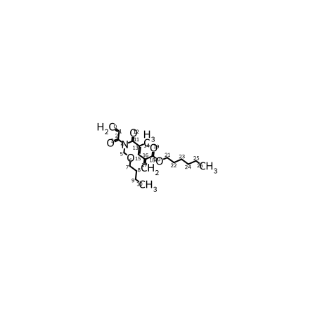 C=CC(=O)N(COCCCC)C(=O)C(C)=CC(=C)C(=O)OCCCCCC